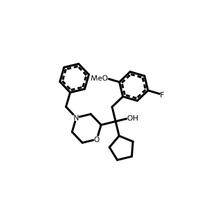 COc1ccc(F)cc1CC(O)(C1CCCC1)C1CN(Cc2ccccc2)CCO1